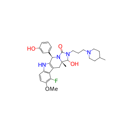 COc1ccc2[nH]c3c(c2c1F)C[C@@]1(C)C(O)N(CCCN2CCC(C)CC2)C(=O)N1[C@@H]3c1cccc(O)c1